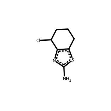 Nc1nc2c(s1)CCCC2Cl